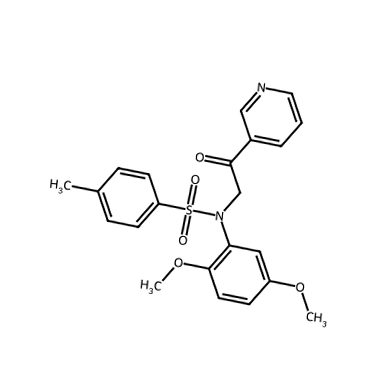 COc1ccc(OC)c(N(CC(=O)c2cccnc2)S(=O)(=O)c2ccc(C)cc2)c1